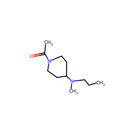 CCCN(C)C1CCN(C(C)=O)CC1